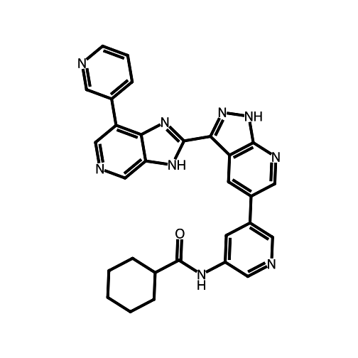 O=C(Nc1cncc(-c2cnc3[nH]nc(-c4nc5c(-c6cccnc6)cncc5[nH]4)c3c2)c1)C1CCCCC1